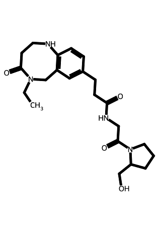 CCN1Cc2cc(CCC(=O)NCC(=O)N3CCCC3CO)ccc2NCCC1=O